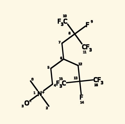 C[N+](C)([O-])CCC(CC(F)(C(F)(F)F)C(F)(F)F)CC(F)(C(F)(F)F)C(F)(F)F